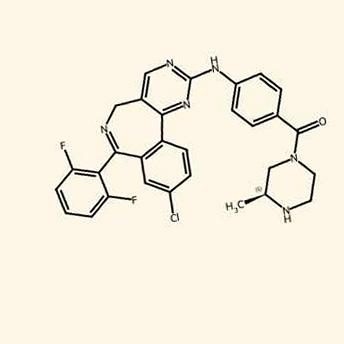 C[C@H]1CN(C(=O)c2ccc(Nc3ncc4c(n3)-c3ccc(Cl)cc3C(c3c(F)cccc3F)=NC4)cc2)CCN1